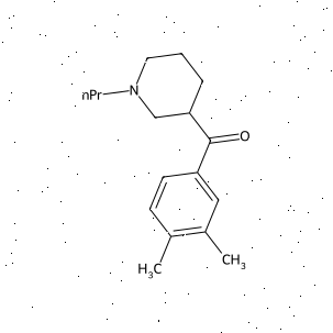 CCCN1CCCC(C(=O)c2ccc(C)c(C)c2)C1